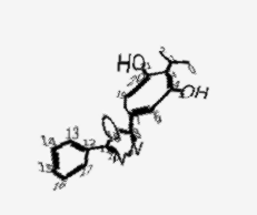 CC(C)c1c(O)cc(-c2nnc(-c3ccccc3)o2)cc1O